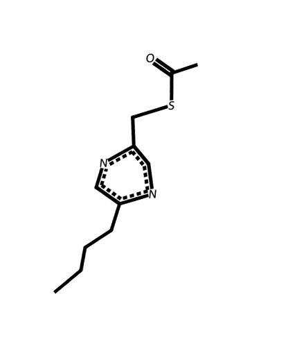 CCCCc1cnc(CSC(C)=O)cn1